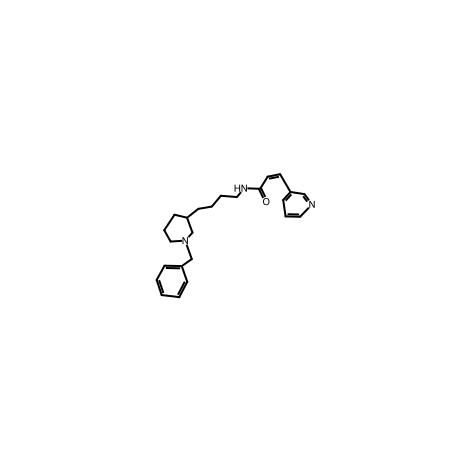 O=C(/C=C\c1cccnc1)NCCCCC1CCCN(Cc2ccccc2)C1